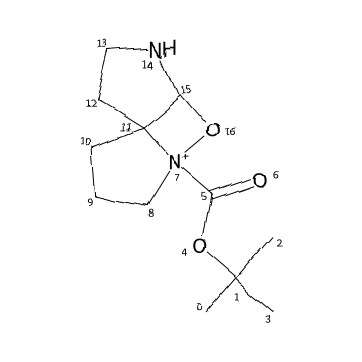 CC(C)(C)OC(=O)[N+]12CCCC13CCNC3O2